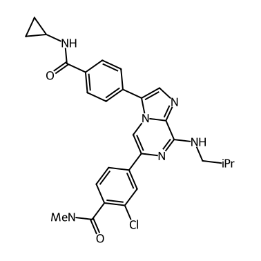 CNC(=O)c1ccc(-c2cn3c(-c4ccc(C(=O)NC5CC5)cc4)cnc3c(NCC(C)C)n2)cc1Cl